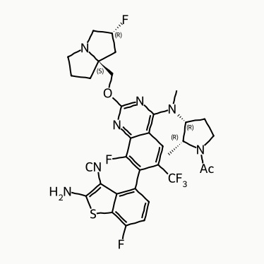 CC(=O)N1CC[C@@H](N(C)c2nc(OC[C@@]34CCCN3C[C@H](F)C4)nc3c(F)c(-c4ccc(F)c5sc(N)c(C#N)c45)c(C(F)(F)F)cc23)[C@H]1C